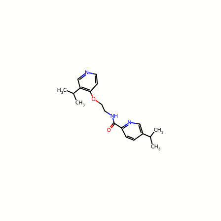 CC(C)c1ccc(C(=O)NCCOc2ccncc2C(C)C)nc1